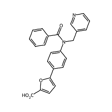 O=C(O)c1ccc(-c2ccc(N(Cc3cccnc3)C(=O)c3ccccc3)cc2)o1